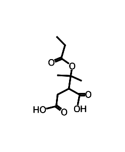 CCC(=O)OC(C)(C)C(CC(=O)O)C(=O)O